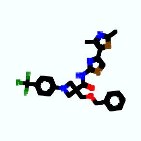 Cc1nc(C)c(-c2csc(NC(=O)C3(COCc4ccccc4)CN(c4ccc(C(F)(F)F)cc4)C3)n2)s1